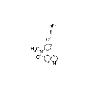 CCCC#CCOc1cccc(N(C)C(=O)c2ccc3ncccc3c2)c1